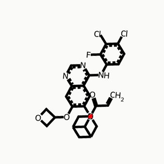 C=CC(=O)N1CC2CC(C1)C2Oc1cc2c(Nc3ccc(Cl)c(Cl)c3F)ncnc2cc1OC1COC1